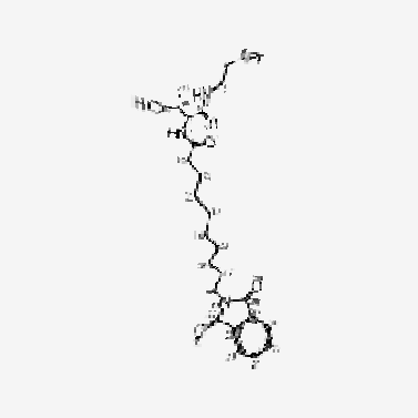 CC(C)CCNC(=O)[C@@H](NC(=O)CCCCCCCCCN1C(=O)c2ccccc2C1=O)[C@@H](C)O